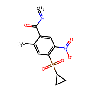 C=NC(=O)c1cc([N+](=O)[O-])c(S(=O)(=O)C2CC2)cc1C